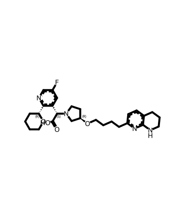 O=C(O)[C@H](c1cc(F)cnc1[C@H]1CCCCO1)N1CC[C@@H](OCCCCc2ccc3c(n2)NCCC3)C1